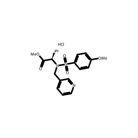 COC(=O)[C@@H](C(C)C)N(Cc1cccnc1)S(=O)(=O)c1ccc(OC)cc1.Cl